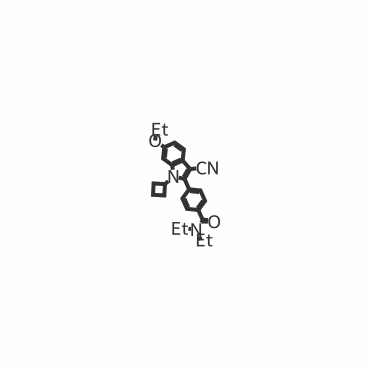 CCOc1ccc2c(C#N)c(-c3ccc(C(=O)N(CC)CC)cc3)n(C3CCC3)c2c1